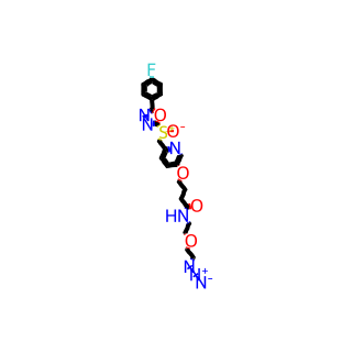 [N-]=[N+]=NCCOCCNC(=O)CCCOc1ccc(C[S@+]([O-])c2nnc(-c3ccc(F)cc3)o2)nc1